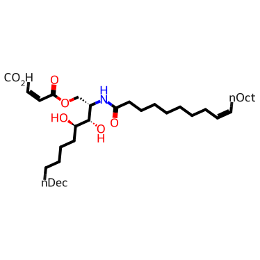 CCCCCCCC/C=C\CCCCCCCC(=O)N[C@@H](COC(=O)/C=C\C(=O)O)[C@H](O)[C@H](O)CCCCCCCCCCCCCC